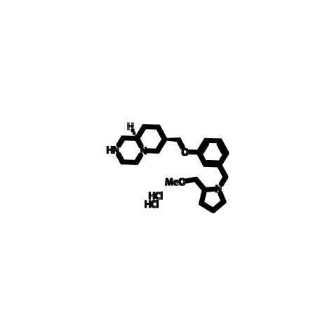 COCC1CCCN1Cc1cccc(OC[C@@H]2CC[C@@H]3CNCCN3C2)c1.Cl.Cl